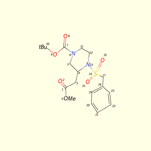 COC(=O)CC1CN(C(=O)OC(C)(C)C)CCN1S(=O)(=O)Cc1ccccc1